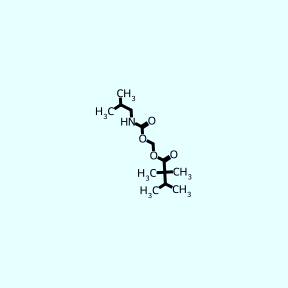 CC(C)CNC(=O)OCOC(=O)C(C)(C)C(C)C